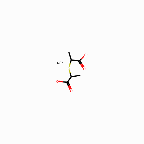 CC(SC(C)C(=O)[O-])C(=O)[O-].[Ni+2]